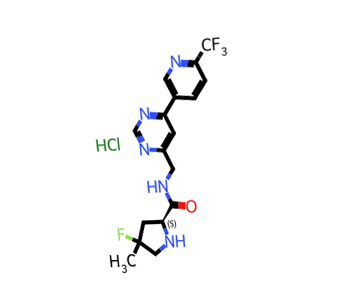 CC1(F)CN[C@H](C(=O)NCc2cc(-c3ccc(C(F)(F)F)nc3)ncn2)C1.Cl